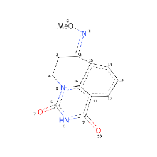 CON=C1CCn2c(=O)[nH]c(=O)c3cccc1c32